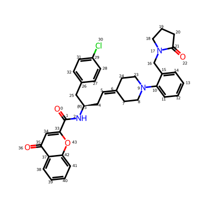 O=C(N[C@H](CC=C1CCN(c2ccccc2CN2CCCC2=O)CC1)Cc1ccc(Cl)cc1)c1cc(=O)c2ccccc2o1